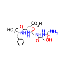 NCC(=O)N[C@@H](CO)C(=O)NCC(=O)N[C@@H](CCC(=O)O)C(=O)N[C@@H](Cc1ccccc1)C(=O)O